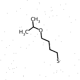 CC(C)OCCCC[S]